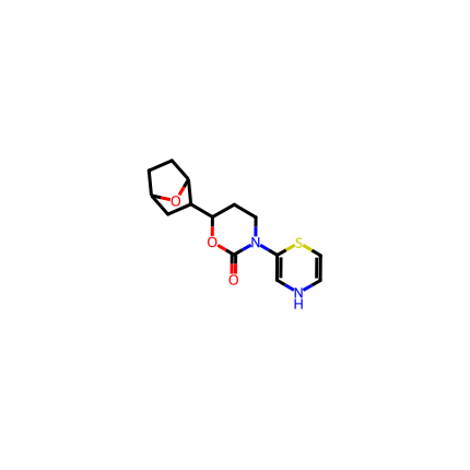 O=C1OC(C2CC3CCC2O3)CCN1C1=CNC=CS1